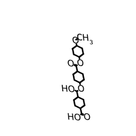 COC1CCC(OC(=O)C2CCC(OC(O)C3CCC(C(=O)O)CC3)CC2)CC1